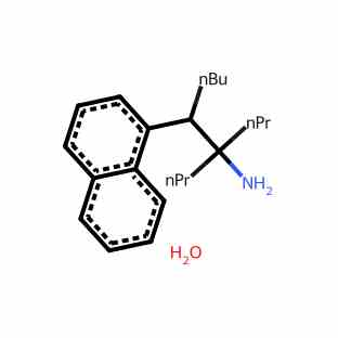 CCCCC(c1cccc2ccccc12)C(N)(CCC)CCC.O